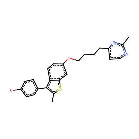 Cc1nccc(CCCCOc2ccc3c(-c4ccc(Br)cc4)c(C)sc3c2)n1